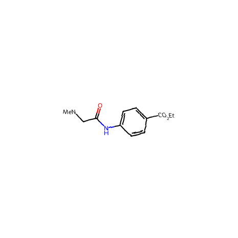 CCOC(=O)c1ccc(NC(=O)CNC)cc1